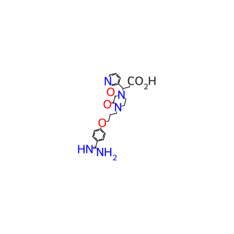 N=C(N)c1ccc(OCCCN2CCN(C(CC(=O)O)c3cccnc3)C(=O)C2=O)cc1